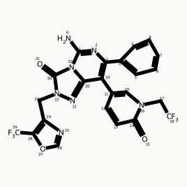 Nc1nc(-c2ccccc2)c(-c2ccc(=O)n(CC(F)(F)F)c2)c2nn(Cc3ncoc3C(F)(F)F)c(=O)n12